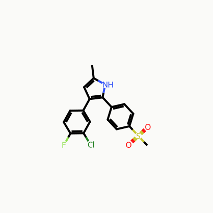 Cc1cc(-c2ccc(F)c(Cl)c2)c(-c2ccc(S(C)(=O)=O)cc2)[nH]1